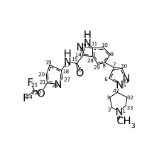 CN1CCC(n2cc(-c3ccc4[nH]nc(C(=O)Nc5ccc(OC(F)F)nc5)c4c3)cn2)CC1